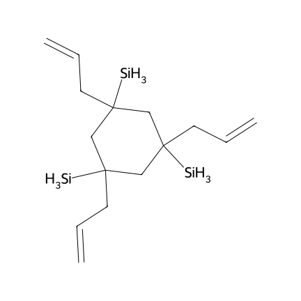 C=CCC1([SiH3])CC([SiH3])(CC=C)CC([SiH3])(CC=C)C1